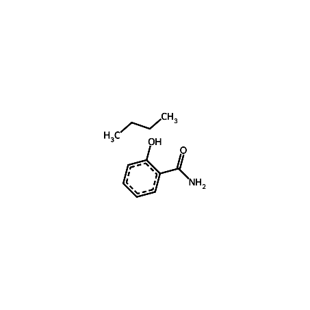 CCCC.NC(=O)c1ccccc1O